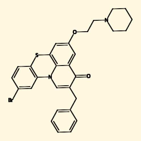 O=c1c(Cc2ccccc2)cn2c3c(cc(OCCN4CCCCC4)cc13)Sc1ccc(Br)cc1-2